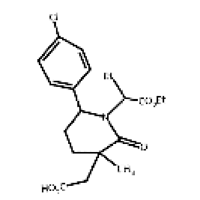 CCOC(=O)C(CC)N1C(=O)C(C)(CC(=O)O)CCC1c1ccc(Cl)cc1